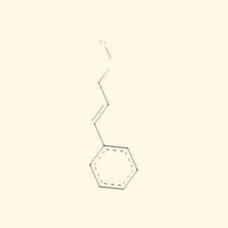 O=NOCC=Cc1ccccc1